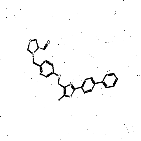 Cc1oc(-c2ccc(-c3ccccc3)cc2)nc1COc1ccc(CN2CSC[C@H]2C=O)cc1